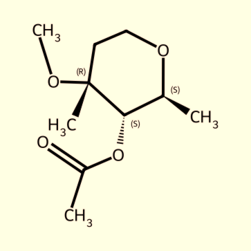 CO[C@]1(C)CCO[C@@H](C)[C@@H]1OC(C)=O